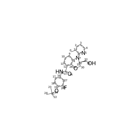 Cc1cccnc1N1c2cccc(C(=O)Nc3ccc(OC(C)(C)C)c(F)c3)c2OC[C@@H]1CO